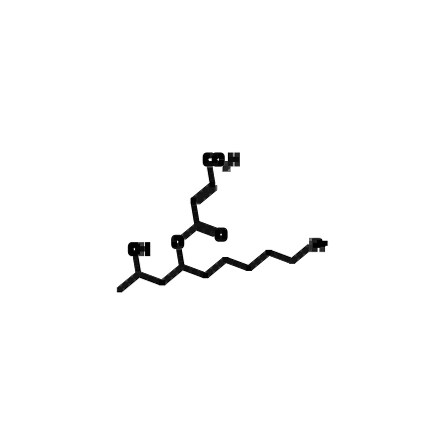 CC(C)CCCCCC(CC(C)O)OC(=O)C=CC(=O)O